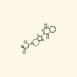 Nc1ccccc1NC(=O)c1nc2c(s1)CN(/C(Cl)=C/[N+](=O)[O-])CC2